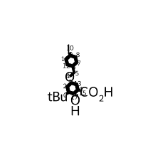 CC(C)(C)c1cc(OCc2ccc(I)cc2)cc(C(=O)O)c1O